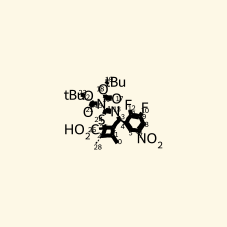 CC1C2[C@H](c3cc([N+](=O)[O-])cc(F)c3F)N=C(N(C(=O)OC(C)(C)C)C(=O)OC(C)(C)C)S[C@@]2(C(=O)O)[C@H]1C